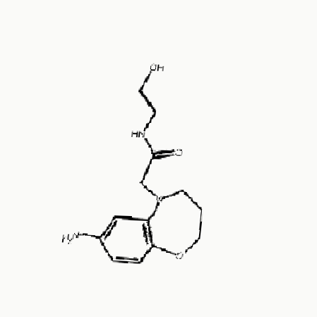 Nc1ccc2c(c1)N(CC(=O)NCCO)CCCO2